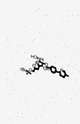 Cc1ccc(-c2ccc(CO[C@](C)(C(=O)NO)[C@@H](O)c3cc(CO[Si](C)(C)C(C)(C)C)on3)cc2)nc1